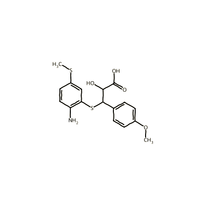 COc1ccc(C(Sc2cc(SC)ccc2N)C(O)C(=O)O)cc1